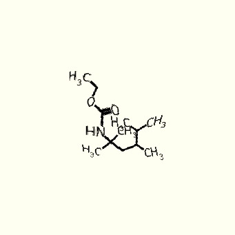 CCOC(=O)NC(C)(C)CC(C)C(C)C